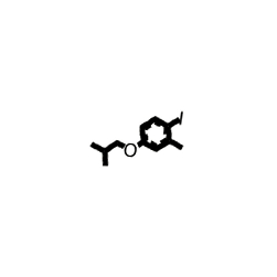 Cc1cc(OCC(C)C)ccc1I